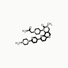 CN1CCN(c2ccc(-c3ccc4ncc5c(c4n3)N(C3CCN(CC(N)=O)CC3)C(=O)N(C)C5)cn2)CC1